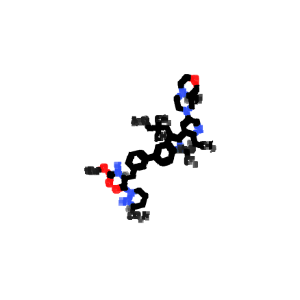 CO[C@@H](C)c1ncc(N2CCN3CCOC[C@@H]3C2)cc1-c1c(CC(C)(C)COC(C)=O)c2cc(-c3cccc(C[C@H](NC(=O)OC(C)(C)C)C(=O)N4CCC[C@@H](C(=O)O)N4)c3)ccc2n1CC(F)(F)F